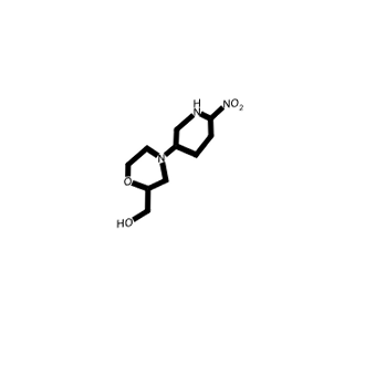 O=[N+]([O-])C1CCC(N2CCOC(CO)C2)CN1